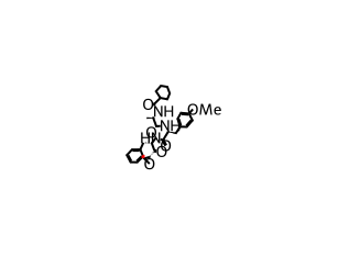 COc1ccc(C[C@H](NC(=O)[C@@H](C)NC(=O)C2CCCCC2)C(=O)N[C@@H](Cc2ccccc2)C(=O)[C@H]2CO2)cc1